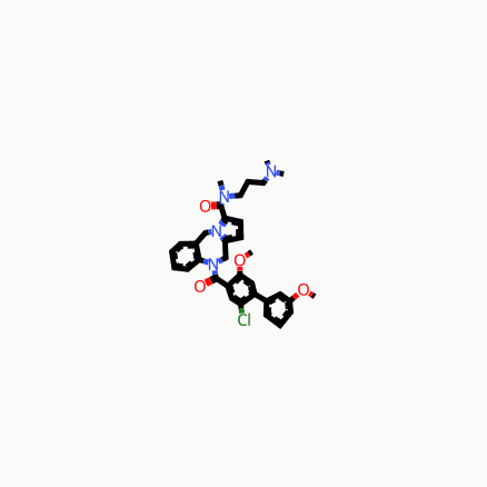 COc1cccc(-c2cc(OC)c(C(=O)N3Cc4ccc(C(=O)N(C)CCCN(C)C)n4Cc4ccccc43)cc2Cl)c1